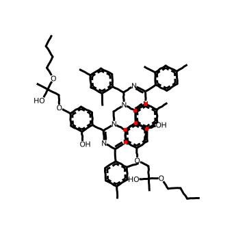 CCCCOC(C)(O)COc1ccc(C2=NC(c3ccc(C)cc3C)=NC(c3ccc(C)cc3C)N2CN2C(c3ccc(OCC(C)(O)OCCCC)cc3O)=NC(c3ccc(C)cc3C)=NC2c2ccc(C)cc2C)c(O)c1